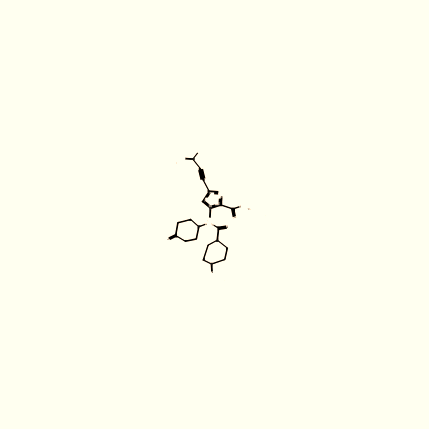 COC(=O)c1sc(C#CC(C)C)cc1N(C(=O)C1CCC(C)CC1)C1CCC(=O)CC1